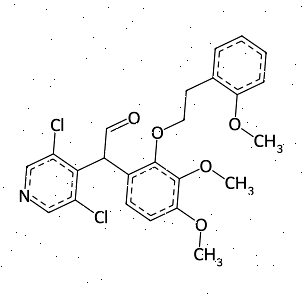 COc1ccccc1CCOc1c(C(C=O)c2c(Cl)cncc2Cl)ccc(OC)c1OC